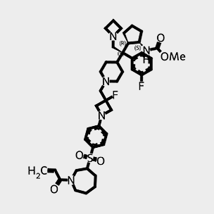 C=CC(=O)N1CCCCC(S(=O)(=O)c2ccc(N3CC(F)(CN4CCC([C@@](CN5CCC5)(c5cccc(F)c5)[C@H]5CCC[C@@H]5NC(=O)OC)CC4)C3)cc2)C1